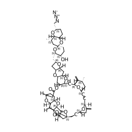 C=C1C[C@@H]2CC[C@@]34C[C@H]5OC6[C@@H](O[C@H]7CC[C@H](CC(=O)O[C@@H]8CC9OC%10C[C@H](C[C@@H]%11O[C@@]%12(CC[C@@H]%11O)C[C@H](C)[C@@H]%11O[C@H](CN=[N+]=[N-])CC[C@@H]%11O%12)O[C@@H]%10C[C@@H]9O[C@H]8C[C@H]8O[C@@H](CC[C@@H]1O2)C[C@@H](C)C8=C)O[C@@H]7[C@@H]6O3)[C@H]5O4